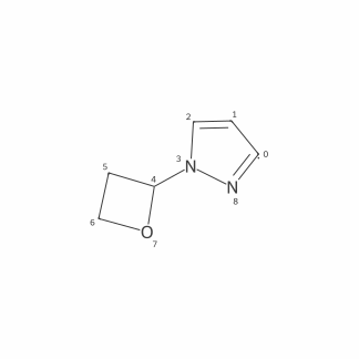 [c]1ccn(C2CCO2)n1